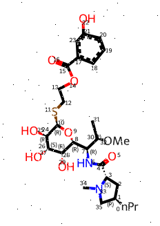 CCC[C@@H]1C[C@@H](C(=O)N[C@@H]([C@H]2O[C@H](SCCOC(=O)c3cccc(O)c3)[C@H](O)[C@@H](O)[C@H]2O)[C@@H](C)OC)N(C)C1